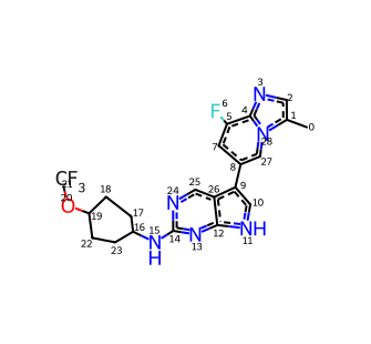 Cc1cnc2c(F)cc(-c3c[nH]c4nc(NC5CCC(OC(F)(F)F)CC5)ncc34)cn12